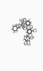 O=c1cnn(-c2cc(Cl)c(Oc3ccc(O)c(S(=O)(=O)NCC4CCCCC4)c3)c(Cl)c2)c(=O)[nH]1